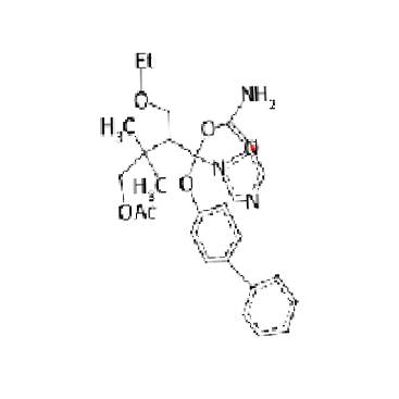 CCOCC(C(C)(C)COC(C)=O)C(OC(N)=O)(Oc1ccc(-c2ccccc2)cc1)n1cncn1